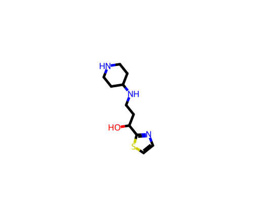 OC(CCNC1CCNCC1)c1nccs1